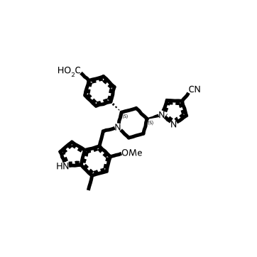 COc1cc(C)c2[nH]ccc2c1CN1CC[C@H](n2cc(C#N)cn2)C[C@H]1c1ccc(C(=O)O)cc1